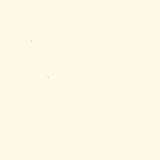 CCCCCCOc1ccc(C(=O)OC(CC)c2ccccc2)cn1